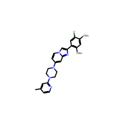 COc1cc(OC)c(-c2cn3ccc(N4CCN(c5cc(C)ccn5)CC4)cc3n2)cc1Cl